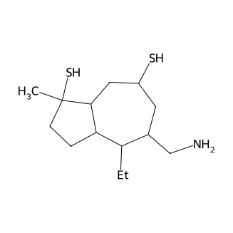 CCC1C(CN)CC(S)CC2C1CCC2(C)S